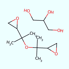 CC(C)(OC(C)(C)C1CO1)C1CO1.OCC(O)CO